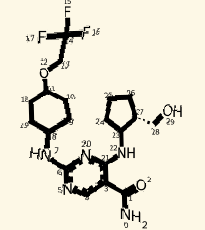 NC(=O)c1cnc(NC2CCC(OCC(F)(F)F)CC2)nc1NC1CCC[C@@H]1CO